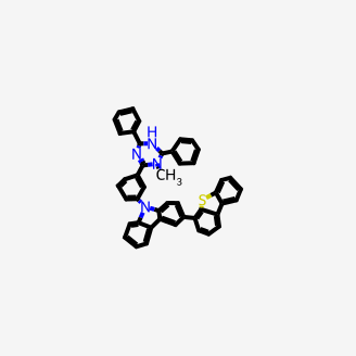 CN1C(c2cccc(-n3c4ccccc4c4cc(-c5cccc6c5sc5ccccc56)ccc43)c2)=NC(c2ccccc2)NC1c1ccccc1